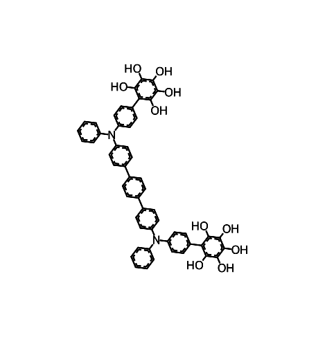 Oc1c(O)c(O)c(-c2ccc(N(c3ccccc3)c3ccc(-c4ccc(-c5ccc(N(c6ccccc6)c6ccc(-c7c(O)c(O)c(O)c(O)c7O)cc6)cc5)cc4)cc3)cc2)c(O)c1O